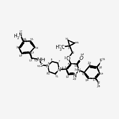 CC1(COc2c(N3CCN(SNCc4ccc(N)cc4)CC3)cnn(-c3cc(F)cc(F)c3)c2=O)CC1